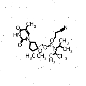 CO[C@]1(COP(OCCC#N)N(C(C)C)C(C)C)C[C@H](n2cc(C)c(=O)[nH]c2=O)C[C@H]1C